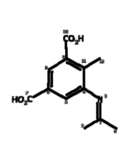 CC(C)=Nc1cc(C(=O)O)cc(C(=O)O)c1C